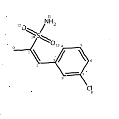 CC(=Cc1cccc(Cl)c1)S(N)(=O)=O